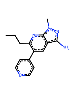 CCCc1nc2c(cc1-c1ccncc1)c(N)nn2C